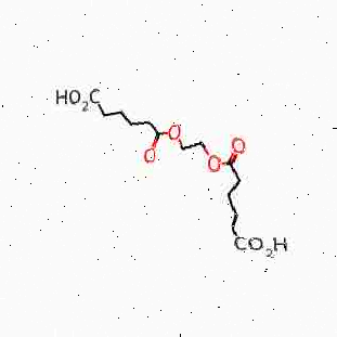 O=C(O)CCCCC(=O)OCCOC(=O)CCCCC(=O)O